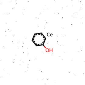 Oc1ccccc1.[Ce]